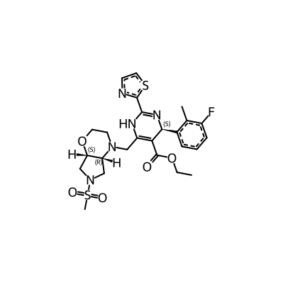 CCOC(=O)C1=C(CN2CCO[C@H]3CN(S(C)(=O)=O)C[C@H]32)NC(c2nccs2)=N[C@H]1c1cccc(F)c1C